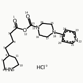 Cl.O=C(CCCC1CCNCC1)OC(=O)N1CCN(c2ccncc2)CC1